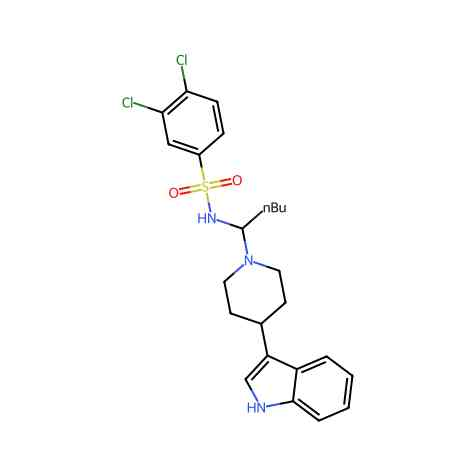 CCCCC(NS(=O)(=O)c1ccc(Cl)c(Cl)c1)N1CCC(c2c[nH]c3ccccc23)CC1